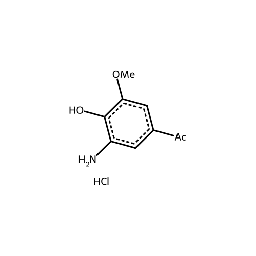 COc1cc(C(C)=O)cc(N)c1O.Cl